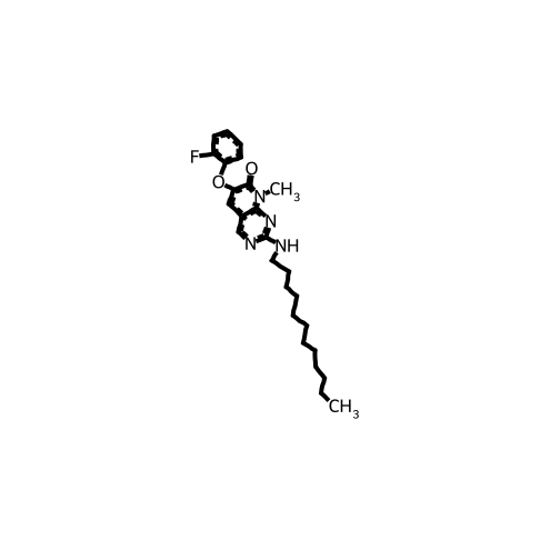 CCCCCCCCCCCCNc1ncc2cc(Oc3ccccc3F)c(=O)n(C)c2n1